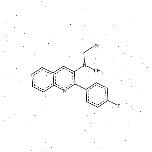 CC(C)CN(C)c1cc2ccccc2nc1-c1ccc(F)cc1